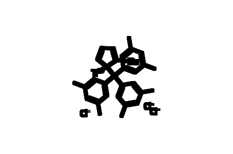 CCC(C)C1=CC=C[C]1([Ti+3])C(c1cc(C)cc(C)c1)(c1cc(C)cc(C)c1)c1cc(C)cc(C)c1.[Cl-].[Cl-].[Cl-]